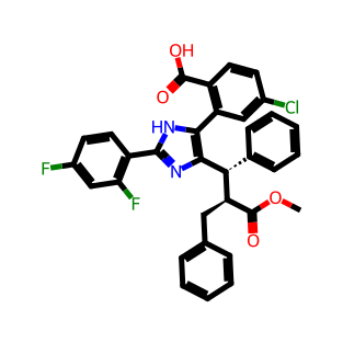 COC(=O)[C@@H](Cc1ccccc1)[C@@H](c1ccccc1)c1nc(-c2ccc(F)cc2F)[nH]c1-c1cc(Cl)ccc1C(=O)O